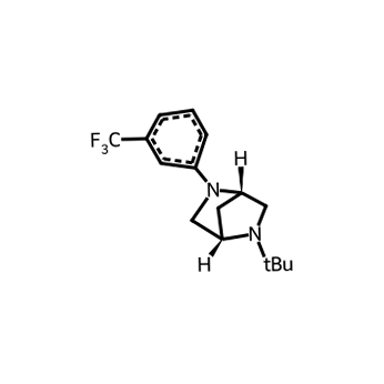 CC(C)(C)N1C[C@@H]2C[C@H]1CN2c1cccc(C(F)(F)F)c1